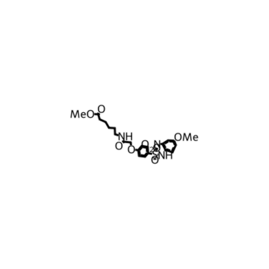 COC(=O)CCCCCNC(=O)COc1ccc(S(=O)(=O)Nc2ccc(OC)cc2[N+](=O)[O-])cc1